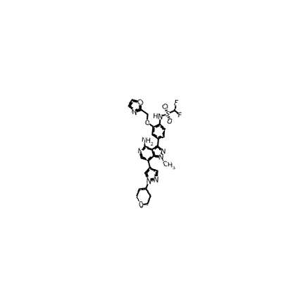 Cn1nc(-c2ccc(NS(=O)(=O)C(F)F)c(OCc3ncco3)c2)c2c(N)ncc(-c3cnn(C4CCOCC4)c3)c21